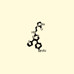 CC(=O)Nc1ccc(-c2cnc(NCCN3CCNC3=O)nc2-c2cccs2)cc1